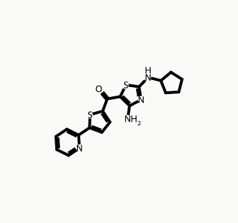 Nc1nc(NC2CCCC2)sc1C(=O)c1ccc(-c2ccccn2)s1